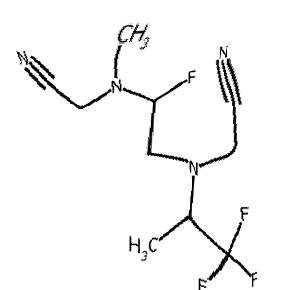 CC(N(CC#N)CC(F)N(C)CC#N)C(F)(F)F